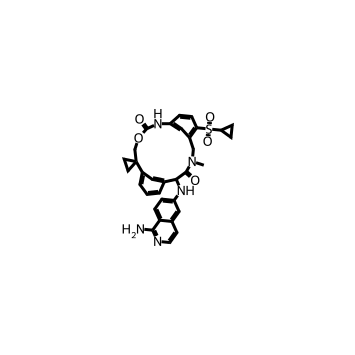 CN1Cc2cc(ccc2S(=O)(=O)C2CC2)NC(=O)OCC2(CC2)c2cccc(c2)C(Nc2ccc3c(N)nccc3c2)C1=O